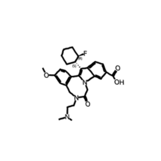 COc1ccc2c(c1)CN(CCN(C)C)C(=O)Cn1c-2c([C@@H]2CCCC[C@H]2F)c2ccc(C(=O)O)cc21